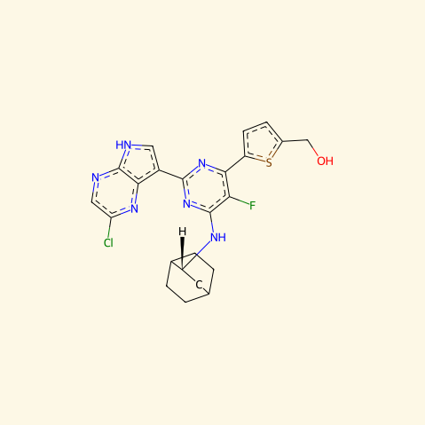 OCc1ccc(-c2nc(-c3c[nH]c4ncc(Cl)nc34)nc(N[C@@H]3CC4CCC3CC4)c2F)s1